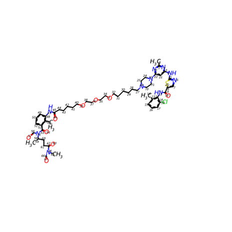 Cc1nc(Nc2ncc(C(=O)Nc3c(C)cccc3Cl)s2)cc(N2CCN(CCCCCCOCCOCCOCCCCCC(=O)Nc3cccc(C(=O)N(C=O)C(C)CCC(=O)N(C)C=O)c3C)CC2)n1